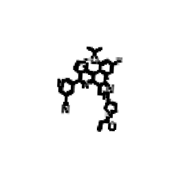 C=CC(=O)N1CC[C@H](n2cc(-c3nc(-c4cncc(C#N)c4)c4ccsc4c3-c3c(F)cc(F)cc3OC(C)C)cn2)C1